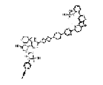 CC#Cc1ccc([C@@H](NC(=O)[C@@H]2C[C@@H](O)CN2C(=O)[C@@H](NC(=O)N2CC3(CC(N4CCC(c5cnc(N6CCc7[nH]c8nnc(-c9ccccc9OP(=O)(O)O)cc8c7[C@H]6C)nc5)CC4)C3)C2)C2(C)CCOCC2)C(C)(C)O)cc1